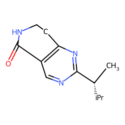 CC(C)[C@@H](C)c1ncc2c(n1)CCNC2=O